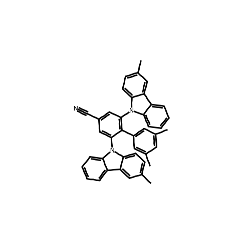 Cc1cc(C)cc(-c2c(-n3c4ccccc4c4cc(C)ccc43)cc(C#N)cc2-n2c3ccccc3c3cc(C)ccc32)c1